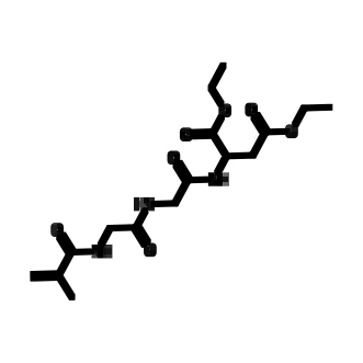 C=C(C)C(=O)NCC(=O)NCC(=O)NC(CC(=O)OCC)C(=O)OCC